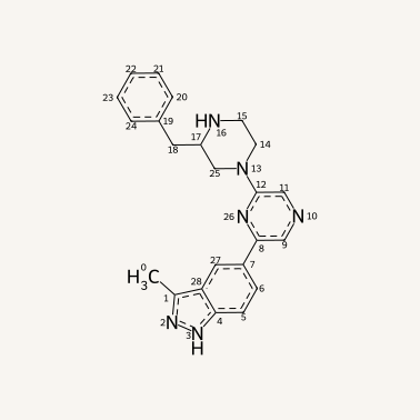 Cc1n[nH]c2ccc(-c3cncc(N4CCNC(Cc5ccccc5)C4)n3)cc12